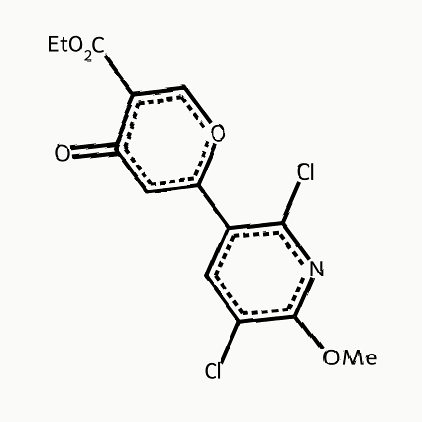 CCOC(=O)c1coc(-c2cc(Cl)c(OC)nc2Cl)cc1=O